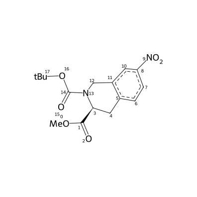 COC(=O)[C@@H]1Cc2ccc([N+](=O)[O-])cc2CN1C(=O)OC(C)(C)C